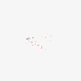 CCCCC(CC)C(=O)[O-].CCCCC(CC)C(=O)[O-].CCCCC(CC)C(=O)[O-].CCCCC(CC)CO.[Rh+3]